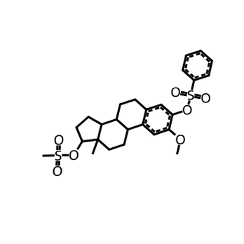 COc1cc2c(cc1OS(=O)(=O)c1ccccc1)CCC1C2CCC2(C)C(OS(C)(=O)=O)CCC12